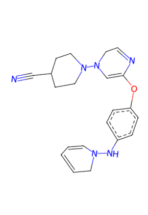 N#CC1CCN(N2C=C(Oc3ccc(NN4C=CC=CC4)cc3)N=CC2)CC1